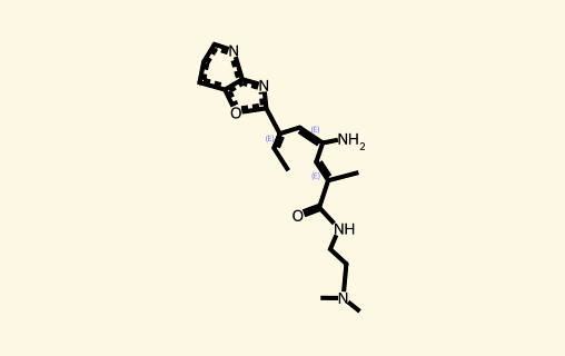 C\C=C(/C=C(N)\C=C(/C)C(=O)NCCN(C)C)c1nc2ncccc2o1